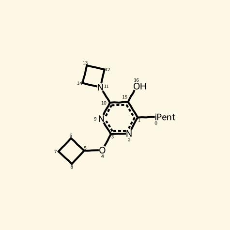 CCCC(C)c1nc(OC2CCC2)nc(N2CCC2)c1O